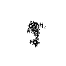 COc1ccc2ncc(CN)c([C@@H](O)CCC3(CO)CCN(CCCc4cc(F)cc(F)c4F)CC3)c2c1